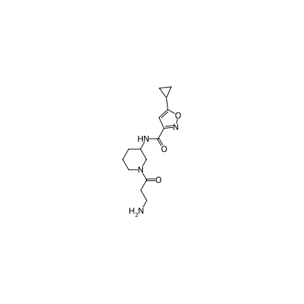 NCCC(=O)N1CCCC(NC(=O)c2cc(C3CC3)on2)C1